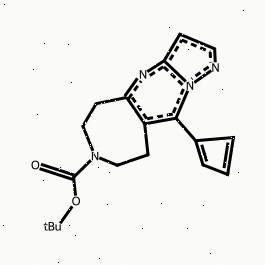 CC(C)(C)OC(=O)N1CCc2nc3ccnn3c(C3=CC=C3)c2CC1